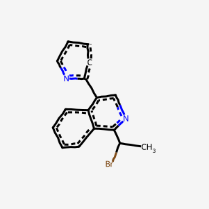 CC(Br)c1ncc(-c2ccccn2)c2ccccc12